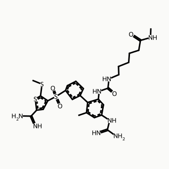 CNC(=O)CCCCCNC(=O)Nc1cc(NC(=N)N)cc(C)c1-c1cccc(S(=O)(=O)c2cc(C(=N)N)sc2SC)c1